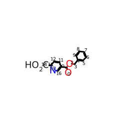 O=C(OCc1ccccc1)c1ccc(C(=O)O)nc1